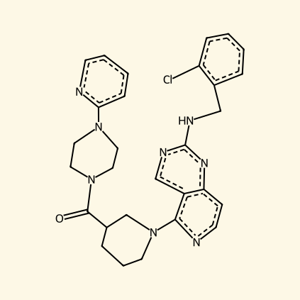 O=C(C1CCCN(c2nccc3nc(NCc4ccccc4Cl)ncc23)C1)N1CCN(c2ccccn2)CC1